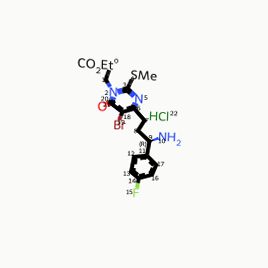 CCOC(=O)Cn1c(SC)nc(CC[C@@H](N)c2ccc(F)cc2)c(Br)c1=O.Cl